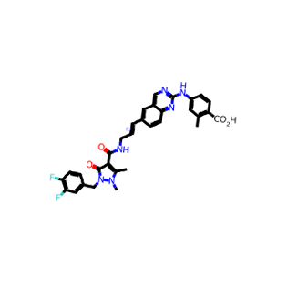 Cc1cc(Nc2ncc3cc(/C=C/CNC(=O)c4c(C)n(C)n(Cc5ccc(F)c(F)c5)c4=O)ccc3n2)ccc1C(=O)O